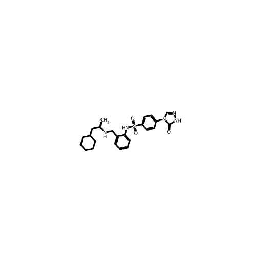 CC(CC1CCCCC1)NCc1ccccc1NS(=O)(=O)c1ccc(-n2cn[nH]c2=O)cc1